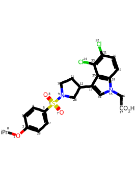 CC(C)Oc1ccc(S(=O)(=O)N2CCC(c3cn(CC(=O)O)c4ccc(Cl)c(Cl)c34)C2)cc1